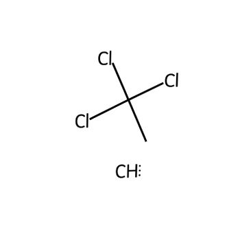 CC(Cl)(Cl)Cl.[CH]